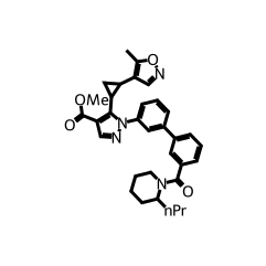 CCCC1CCCCN1C(=O)c1cccc(-c2cccc(-n3ncc(C(=O)OC)c3C3CC3c3cnoc3C)c2)c1